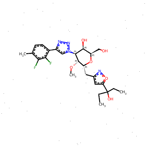 CCC(O)(CC)c1cc(C[C@H]2O[C@H](CO)[C@H](O)[C@H](n3cc(-c4ccc(C)c(F)c4F)nn3)[C@H]2OC)no1